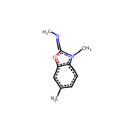 C/N=c1\oc2cc(C)ccc2n1C